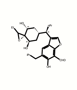 CCC[C@@H](c1coc2c(C=O)c(O)c(CC(C)C)cc12)[C@H]1C[C@@H](O)[C@@]2(OC2CC)[C@H](O)C1